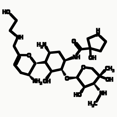 CN[C@@H]1[C@@H](O)[C@@H](O[C@H]2[C@H](NC(=O)C3(O)CCNC3)C[C@H](N)C([C@H]3OC(CNCCO)=CC[C@H]3N)[C@@H]2O)OC[C@]1(C)O